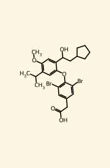 COc1cc(C(O)CC2CCCC2)c(Oc2c(Br)cc(CC(=O)O)cc2Br)cc1C(C)C